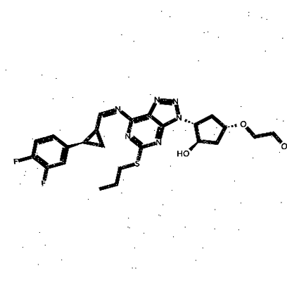 CCCSc1nc(/N=C\C2C[C@H]2c2ccc(F)c(F)c2)c2nnn([C@@H]3C[C@H](OCCO)C[C@H]3O)c2n1